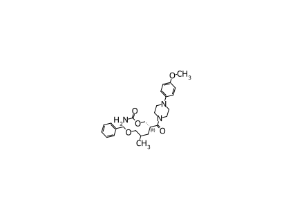 COc1ccc(N2CCN(C(=O)[C@@H](COC(N)=O)CC(C)COCc3ccccc3)CC2)cc1